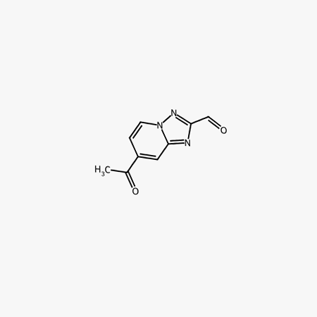 CC(=O)c1ccn2nc(C=O)nc2c1